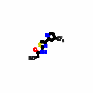 N#CCC(=O)Nc1nc(-c2cc(C(F)(F)F)ccn2)cs1